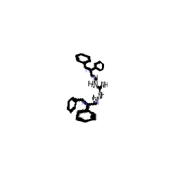 N=C(N/N=C/C(=C/c1ccccc1)c1ccccc1)N/N=C/C(=C/c1ccccc1)c1ccccc1